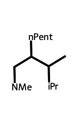 CCCCCC(CNC)C(C)C(C)C